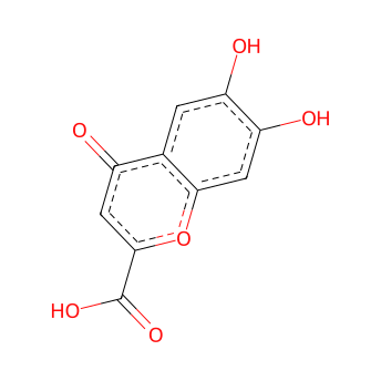 O=C(O)c1cc(=O)c2cc(O)c(O)cc2o1